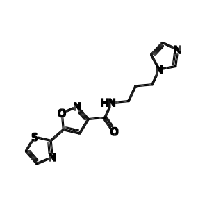 O=C(NCCCn1ccnc1)c1cc(-c2nccs2)on1